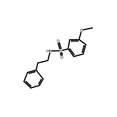 COc1cccc(S(=O)(=O)NCCc2cc[c]cc2)c1